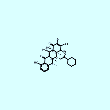 CC(=O)C1=C(O)C(C(C)C)[C@@]2(C)[C@H](CC(=O)C3CCCCC3)[C@]3(C)C(=C(O)[C@@]2(O)C1=O)C(=O)c1c(O)cccc1[C@H]3C